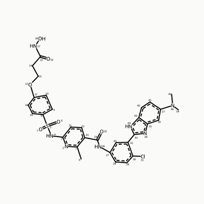 Cc1nc(NS(=O)(=O)c2ccc(OCCC(=O)NO)cc2)ccc1C(=O)Nc1ccc(Cl)c(-c2nc3cc(N(C)C)ccc3[nH]2)c1